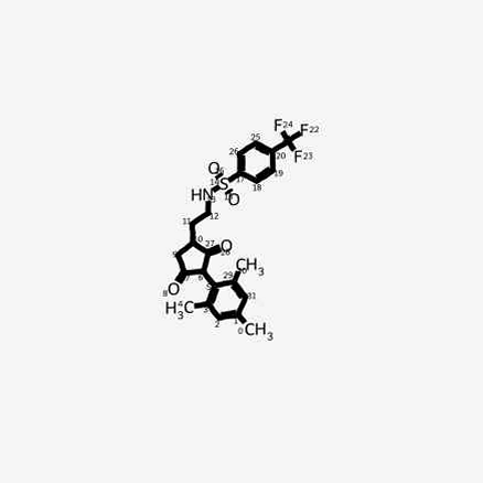 Cc1cc(C)c(C2C(=O)CC(CCNS(=O)(=O)c3ccc(C(F)(F)F)cc3)C2=O)c(C)c1